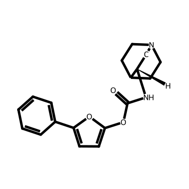 O=C(N[C@H]1CN2CCC1CC2)Oc1ccc(-c2ccccc2)o1